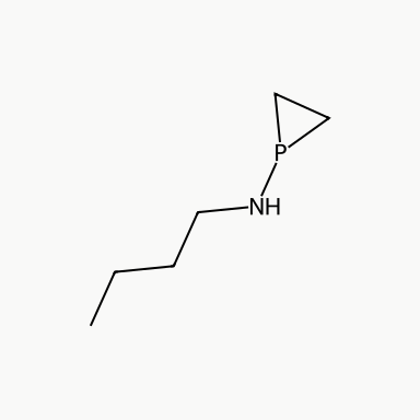 CCCCNP1CC1